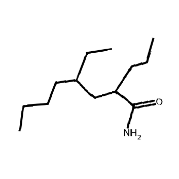 CCCCC(CC)CC(CCC)C(N)=O